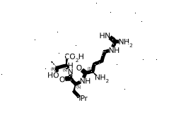 CC(C)C[C@H](NC(=O)[C@@H](N)CCCNC(=N)N)C(=O)N[C@H](C(=O)O)[C@@H](C)O